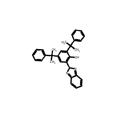 CC(C)(c1ccccc1)c1cc(C2N=c3ccccc3=N2)c(O)c(C(C)(C)c2ccccc2)c1